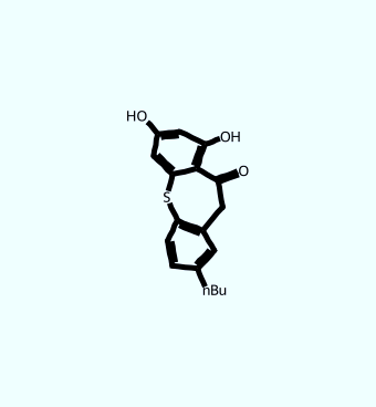 CCCCc1ccc2c(c1)CC(=O)c1c(O)cc(O)cc1S2